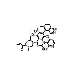 C=CC(=O)N1CC2CS(=O)(=O)c3c(F)c(-c4c(C)ccc5[nH]ncc45)c(Cl)c4c3c(nc(=O)n4-c3c(C)ccnc3C(C)C)N2CC1C